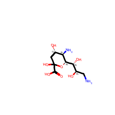 NC[C@@H](O)[C@@H](O)[C@@H]1OC(O)(C(=O)O)C[C@H](O)[C@H]1N